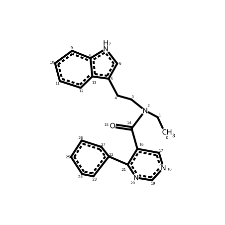 CCN(CCc1c[nH]c2ccccc12)C(=O)c1cncnc1-c1ccccc1